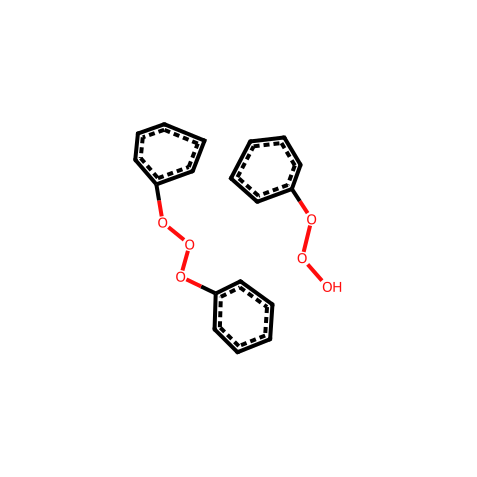 OOOc1ccccc1.c1ccc(OOOc2ccccc2)cc1